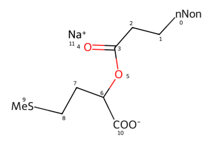 CCCCCCCCCCCC(=O)OC(CCSC)C(=O)[O-].[Na+]